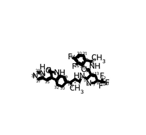 CC(CCNC1=NCC(C(F)(F)F)C=C1C(=O)N[C@@H](C)c1ccc(F)c(F)c1)C1=CC2=C(CC1)/C(=C/c1cnc[nH]1)C(=O)N2